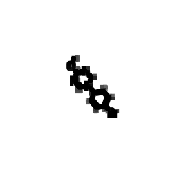 COC1=NCN(c2ccc(Br)cc2)C=N1